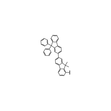 CC1(C)c2cc(-c3ccc4c(c3)C(c3ccccc3)(c3ccccc3)c3ccccc3-4)ccc2-c2cccc(I)c21